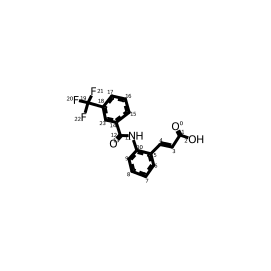 O=C(O)C=Cc1ccccc1NC(=O)c1cccc(C(F)(F)F)c1